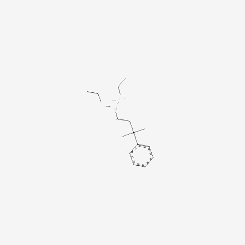 CCO[SiH](CCC(C)(C)c1ccccc1)OCC